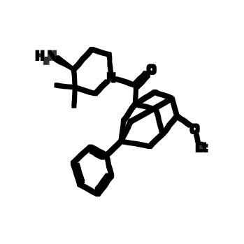 CCOC1C2CC3(C(=O)N4CC[C@H](N)C(C)(C)C4)CC1CC(c1ccccc1)(C2)C3